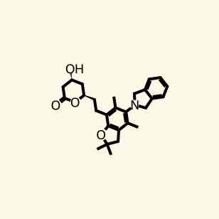 Cc1c(CC[C@@H]2C[C@@H](O)CC(=O)O2)c2c(c(C)c1N1Cc3ccccc3C1)CC(C)(C)O2